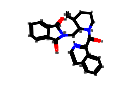 CC1CCCN(C(=O)c2nccc3ccccc23)C1CN1C(=O)c2ccccc2C1=O